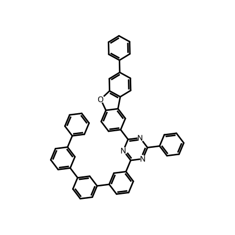 c1ccc(-c2cccc(-c3cccc(-c4cccc(-c5nc(-c6ccccc6)nc(-c6ccc7oc8cc(-c9ccccc9)ccc8c7c6)n5)c4)c3)c2)cc1